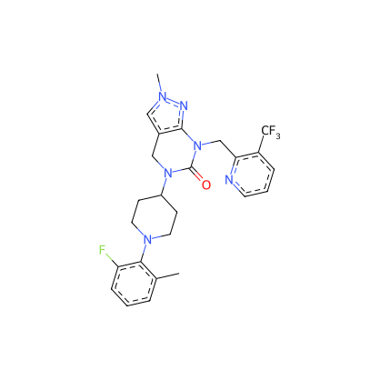 Cc1cccc(F)c1N1CCC(N2Cc3cn(C)nc3N(Cc3ncccc3C(F)(F)F)C2=O)CC1